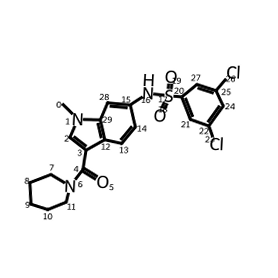 Cn1cc(C(=O)N2CCCCC2)c2ccc(NS(=O)(=O)c3cc(Cl)cc(Cl)c3)cc21